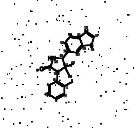 Cc1ccncc1N1C(=O)NC(c2ccc3ncsc3c2)C1(C)C